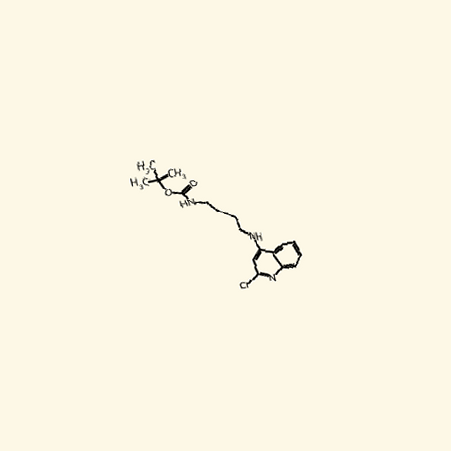 CC(C)(C)OC(=O)NCCCCNc1cc(Cl)nc2ccccc12